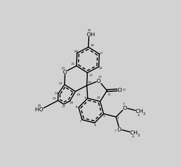 COC(OC)c1cccc2c1C(=O)OC21c2ccc(O)cc2Oc2cc(O)ccc21